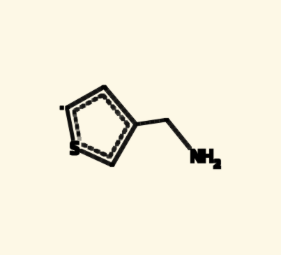 NCc1c[c]sc1